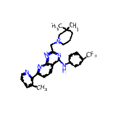 Cc1cccnc1-c1ccc2c(Nc3ccc(C(F)(F)F)cc3)nc(CN3CCCC(C)(C)C3)nc2n1